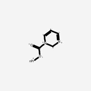 CCCOC(=O)N1C=CC=NC1